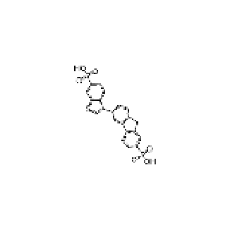 O=S(=O)(O)c1ccc2c(c1)Cc1ccc(-c3csc4cc(S(=O)(=O)O)ccc34)cc1-2